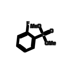 COP(=O)(OC)c1ccccc1F